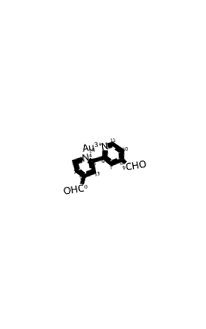 O=Cc1ccnc(-c2cc(C=O)ccn2)c1.[Au+3]